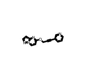 C(#Cc1cccnc1)COc1ccn2nccc2n1